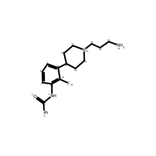 CC(C)C(=O)Nc1cccc(C2CCN(CCCN)CC2)c1F